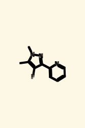 Cc1c(F)c(-c2ccccn2)nn1C